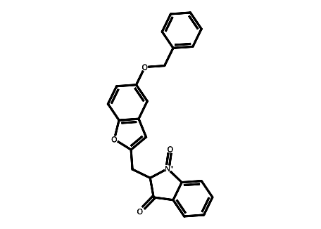 O=C1c2ccccc2[N+](=O)C1Cc1cc2cc(OCc3ccccc3)ccc2o1